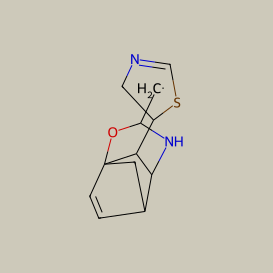 [CH2]C1NC2C3C=CC(C3)(O1)C2C1CN=CS1